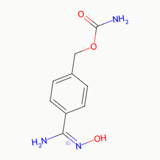 NC(=O)OCc1ccc(/C(N)=N\O)cc1